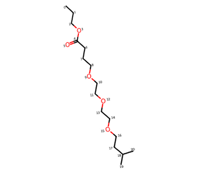 CCCOC(=O)CCCOCCOCCOCCC(C)C